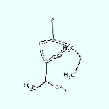 CC(C)c1ccc(F)cc1.CCC